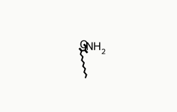 C=C(CCCCCCCCC)C(=C)C(N)=O